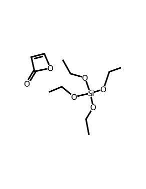 CCO[Si](OCC)(OCC)OCC.O=C1C=CO1